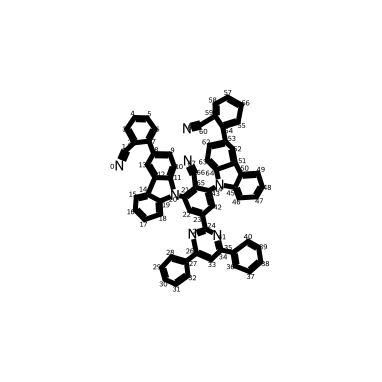 N#Cc1ccccc1-c1ccc2c(c1)c1ccccc1n2-c1cc(-c2nc(-c3ccccc3)cc(-c3ccccc3)n2)cc(-n2c3ccccc3c3cc(-c4ccccc4C#N)ccc32)c1C#N